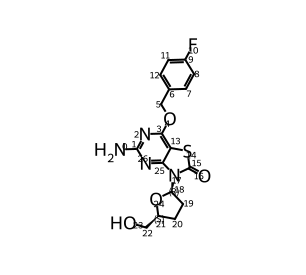 Nc1nc(OCc2ccc(F)cc2)c2sc(=O)n([C@H]3CC[C@@H](CO)O3)c2n1